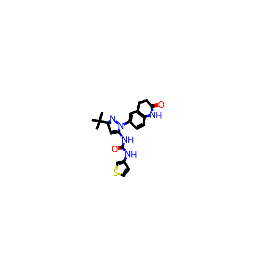 CC(C)(C)c1cc(NC(=O)Nc2ccsc2)n(-c2ccc3c(c2)CCC(=O)N3)n1